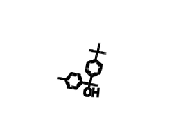 Cc1ccc(C(C)(O)c2ccc(C(C)(C)C)cc2)cc1